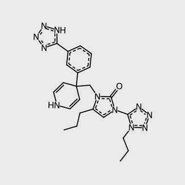 CCCc1cn(-c2nnnn2CCC)c(=O)n1CC1(c2cccc(-c3nnn[nH]3)c2)C=CNC=C1